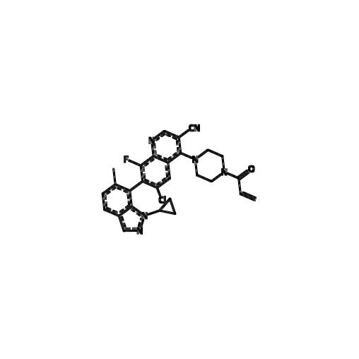 C=CC(=O)N1CCN(c2c(C#N)cnc3c(F)c(-c4c(C)ccc5cnn(C6CC6)c45)c(Cl)cc23)CC1